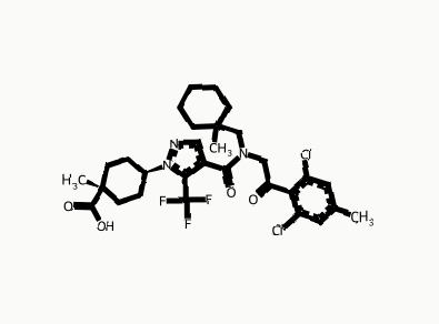 Cc1cc(Cl)c(C(=O)CN(CC2(C)CCCCC2)C(=O)c2cnn([C@H]3CC[C@](C)(C(=O)O)CC3)c2C(F)(F)F)c(Cl)c1